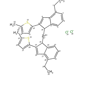 CCc1cccc2c1C=C(c1ccc(C)s1)[CH]2[Zr+2][CH]1C(c2ccc(C)s2)=Cc2c(CC)cccc21.[Cl-].[Cl-]